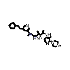 C=C(Nc1ccnc(N2CCN(C)CC2)c1C)c1n[nH]/c(=C/C=C(\C)c2cncc(CCc3ccccc3)c2)c1=C